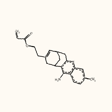 C=CC(=O)OCCC1=CC2Cc3nc4cc(C)ccc4c(N)c3C(C1)C2